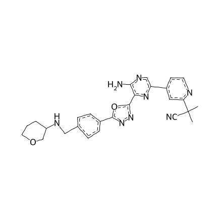 CC(C)(C#N)c1cc(-c2cnc(N)c(-c3nnc(-c4ccc(CNC5CCCOC5)cc4)o3)n2)ccn1